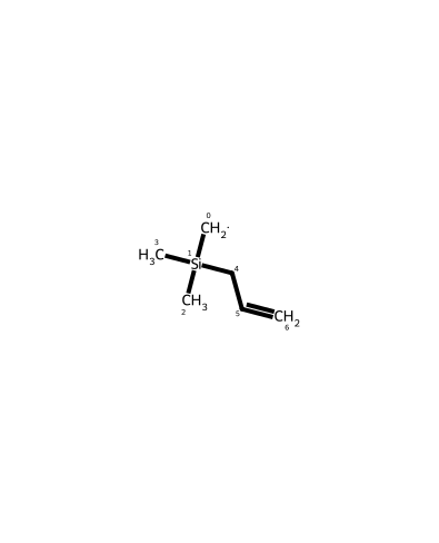 [CH2][Si](C)(C)CC=C